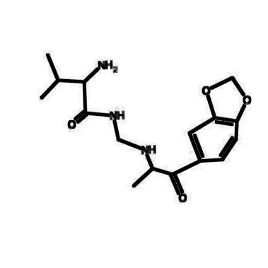 CC(NCNC(=O)C(N)C(C)C)C(=O)c1ccc2c(c1)OCO2